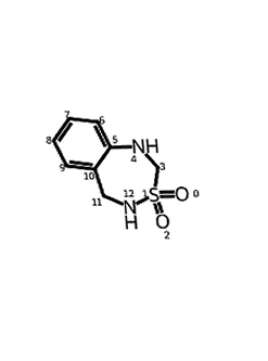 O=S1(=O)CNc2ccccc2CN1